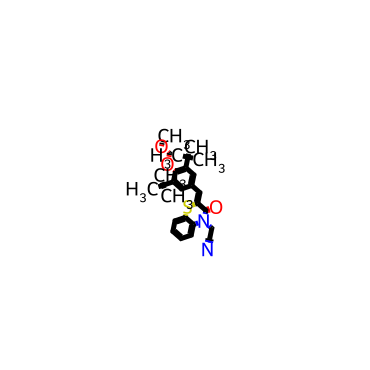 COCOc1c(C(C)(C)C)cc(/C=C2\Sc3ccccc3N(CC#N)C2=O)cc1C(C)(C)C